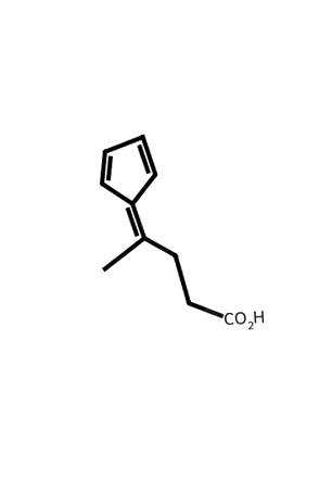 CC(CCC(=O)O)=C1C=CC=C1